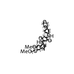 COCCOc1cc2ncnc(NC3=CC(=O)C(Nc4ccc(N5CCOCC5)cc4)=CC3=O)c2cc1OC